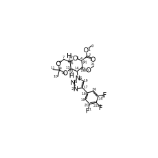 COC(=O)[C@@H]1O[C@@H]2COC(C)(C)O[C@@H]2C(n2cc(-c3cc(F)c(F)c(F)c3)nn2)[C@H]1OC